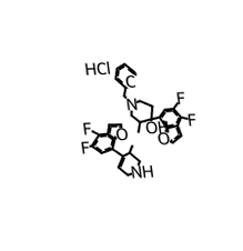 CC1CN(Cc2ccccc2)CCC1(O)c1cc(F)c(F)c2ccoc12.CC1CNCC=C1c1cc(F)c(F)c2ccoc12.Cl